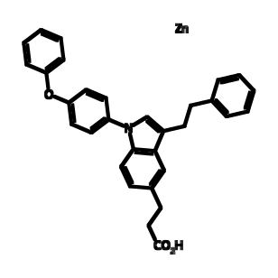 O=C(O)CCc1ccc2c(c1)c(CCc1ccccc1)cn2-c1ccc(Oc2ccccc2)cc1.[Zn]